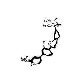 COc1cc(-c2ccc(C3CCc4ccc([C@H](O)[C@H](C)C(=O)O)cc4O3)c(F)c2)ccn1